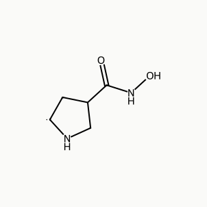 O=C(NO)C1C[CH]NC1